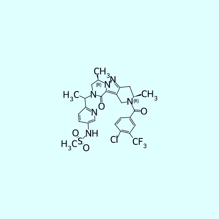 CC(c1ccc(NS(C)(=O)=O)cn1)N1C[C@@H](C)n2nc3c(c2C1=O)CN(C(=O)c1ccc(Cl)c(C(F)(F)F)c1)[C@H](C)C3